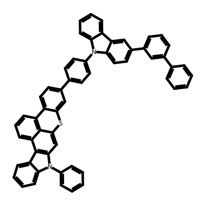 c1ccc(-c2cccc(-c3ccc4c(c3)c3ccccc3n4-c3ccc(-c4ccc5c(c4)Sc4cc6c(c7cccc-5c47)c4ccccc4n6-c4ccccc4)cc3)c2)cc1